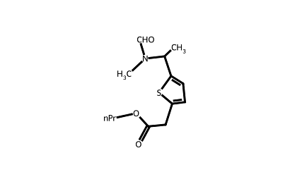 CCCOC(=O)Cc1ccc(C(C)N(C)C=O)s1